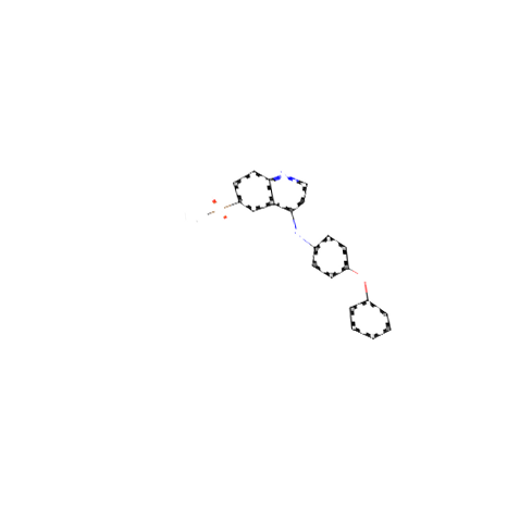 CS(=O)(=O)c1ccc2nccc(Nc3ccc(Oc4ccccc4)cc3)c2c1